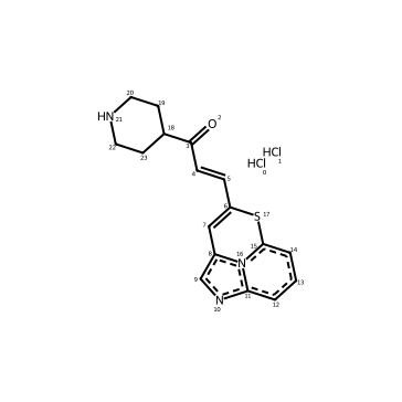 Cl.Cl.O=C(/C=C/C1=Cc2cnc3cccc(n23)S1)C1CCNCC1